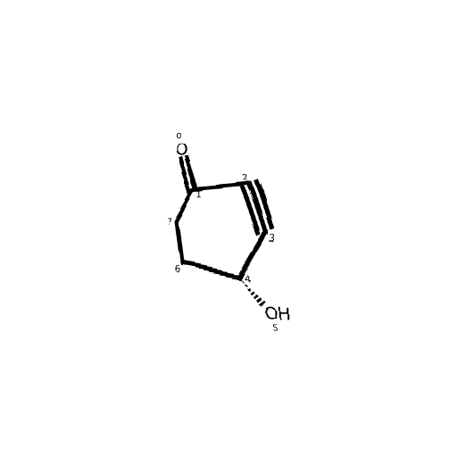 O=C1C#C[C@H](O)CC1